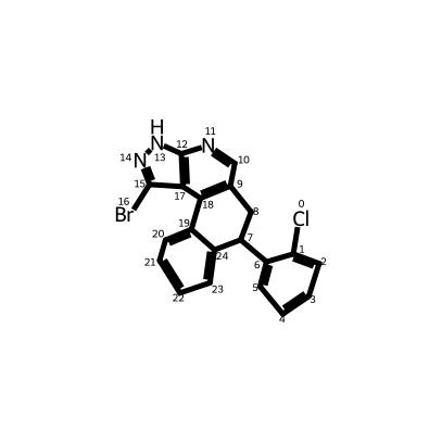 Clc1ccccc1C1Cc2cnc3[nH]nc(Br)c3c2-c2ccccc21